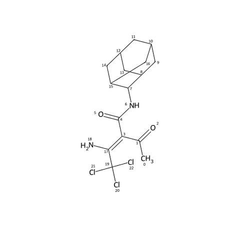 CC(=O)C(C(=O)NC1C2CC3CC(C2)CC1C3)=C(N)C(Cl)(Cl)Cl